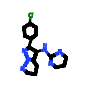 Clc1ccc(-c2nn3ncccc3c2Nc2ncccn2)cc1